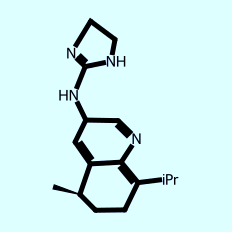 CC(C)C1=C2N=CC(NC3=NCCN3)C=C2[C@H](C)CC1